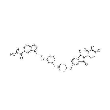 O=C1CCC(N2C(=O)c3ccc(OC4CCN(Cc5cccc(OCCn6ccc7ccc(C(=O)NO)cc76)c5)CC4)cc3C2=O)C(=O)N1